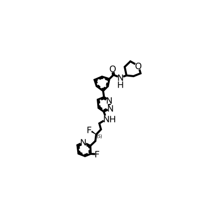 O=C(NC1CCOCC1)c1cccc(-c2ccc(NCC[C@H](F)Cc3ncccc3F)nn2)c1